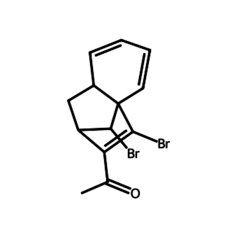 CC(=O)C1=C(Br)C23C=CC=CC2CC1C3Br